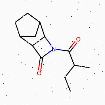 CCC(C)C(=O)N1C(=O)C2C3CCC(C3)C21